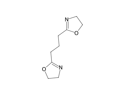 C(CC1=NCCO1)CC1=NCCO1